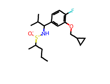 CCCC(C)[S@+]([O-])NC(c1ccc(F)c(OCC2CC2)c1)C(C)C